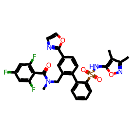 Cc1noc(NS(=O)(=O)c2ccccc2-c2ccc(-c3ncco3)cc2CN(C)C(=O)c2c(F)cc(F)cc2F)c1C